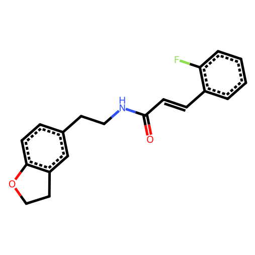 O=C(C=Cc1ccccc1F)NCCc1ccc2c(c1)CCO2